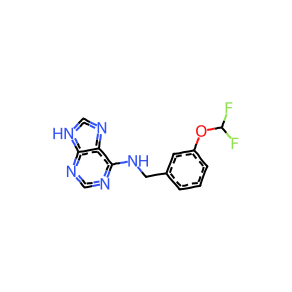 FC(F)Oc1cccc(CNc2ncnc3[nH]cnc23)c1